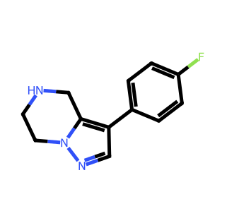 Fc1ccc(-c2cnn3c2CNCC3)cc1